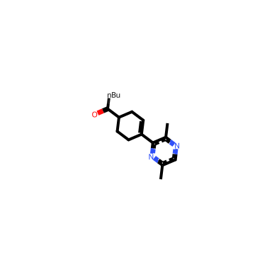 CCCCC(=O)C1CC=C(c2nc(C)cnc2C)CC1